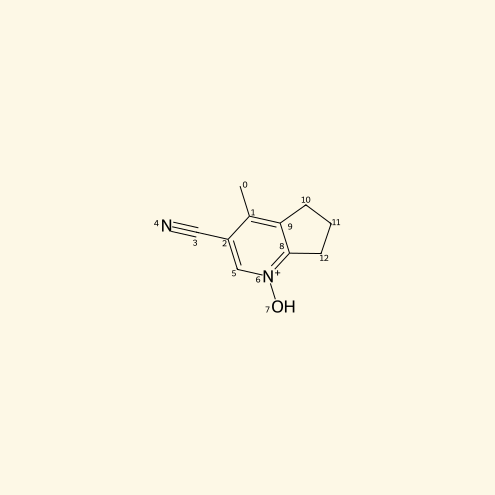 Cc1c(C#N)c[n+](O)c2c1CCC2